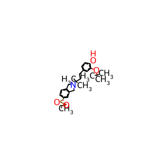 CC(C)(C)Oc1cc(CCC(C)(C)N2Cc3ccc(S(C)(=O)=O)cc3C2)ccc1O